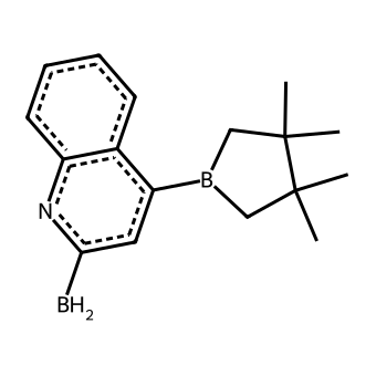 Bc1cc(B2CC(C)(C)C(C)(C)C2)c2ccccc2n1